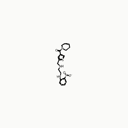 O=C(c1csc(CNCCNc2ccccc2[N+](=O)[O-])c1)N1CCCCC1